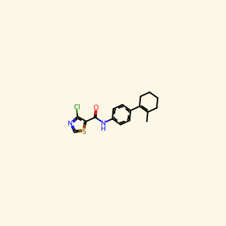 CC1=C(c2ccc(NC(=O)c3scnc3Cl)cc2)CCCC1